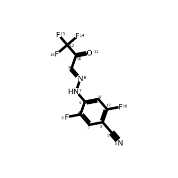 N#Cc1cc(F)c(NN=CC(=O)C(F)(F)F)cc1F